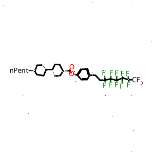 CCCCC[C@H]1CC[C@H]([C@H]2CC[C@H](C(=O)Oc3ccc(CCC(F)(F)C(F)(F)C(F)(F)C(F)(F)C(F)(F)C(F)(F)F)cc3)CC2)CC1